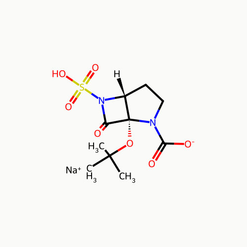 CC(C)(C)O[C@]12C(=O)N(S(=O)(=O)O)[C@@H]1CCN2C(=O)[O-].[Na+]